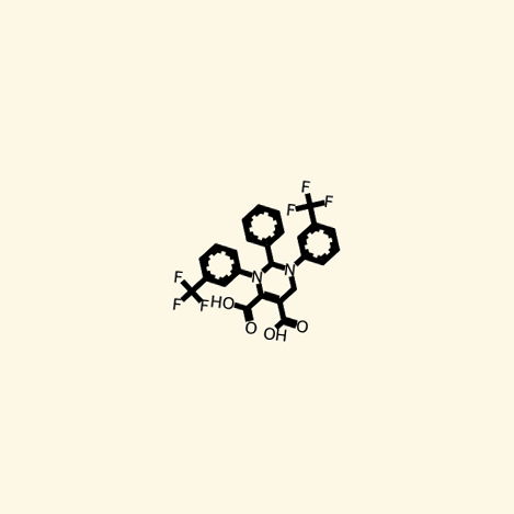 O=C(O)C1=C(C(=O)O)N(c2cccc(C(F)(F)F)c2)C(c2ccccc2)N(c2cccc(C(F)(F)F)c2)C1